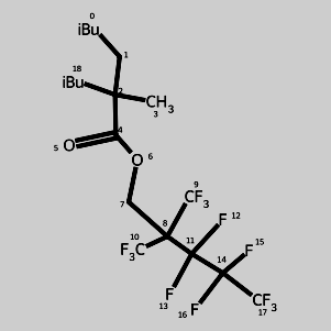 CCC(C)CC(C)(C(=O)OCC(C(F)(F)F)(C(F)(F)F)C(F)(F)C(F)(F)C(F)(F)F)C(C)CC